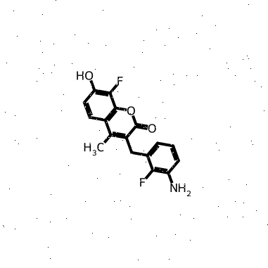 Cc1c(Cc2cccc(N)c2F)c(=O)oc2c(F)c(O)ccc12